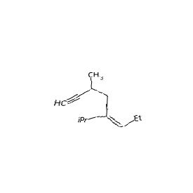 C#CC(C)C/C(=C\CC)C(C)C